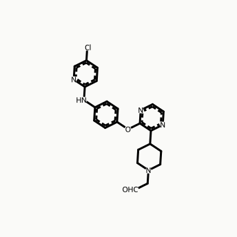 O=CCN1CCC(c2nccnc2Oc2ccc(Nc3ccc(Cl)cn3)cc2)CC1